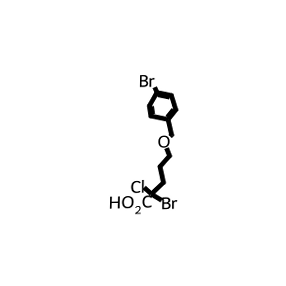 O=C(O)C(Cl)(Br)CCCOCc1ccc(Br)cc1